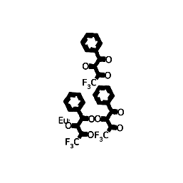 O=C(C(=O)c1ccccc1)C(=O)C(F)(F)F.O=C(C(=O)c1ccccc1)C(=O)C(F)(F)F.O=C(C(=O)c1ccccc1)C(=O)C(F)(F)F.[Eu]